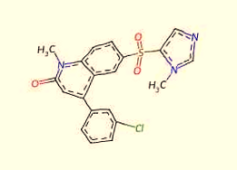 Cn1cncc1S(=O)(=O)c1ccc2c(c1)c(-c1cccc(Cl)c1)cc(=O)n2C